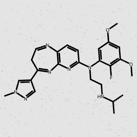 COc1cc(OC)c(F)c(N(CCNC(C)C)c2ccc3c(n2)N=C(c2cnn(C)c2)CC=N3)c1